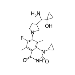 Cc1c(F)c(N2CCC(C(N)C3(O)CC3)C2)c(C)c2c1c(=O)[nH]c(=O)n2C1CC1